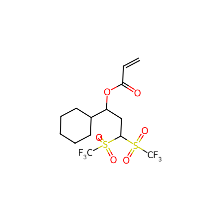 C=CC(=O)OC(CC(S(=O)(=O)C(F)(F)F)S(=O)(=O)C(F)(F)F)C1CCCCC1